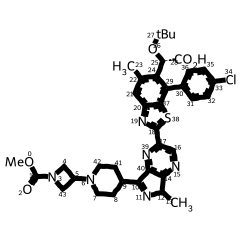 COC(=O)N1CC(N2CCC(C3=NC(C)c4ncc(-c5nc6cc(C)c([C@H](OC(C)(C)C)C(=O)O)c(-c7ccc(Cl)cc7)c6s5)nc43)CC2)C1